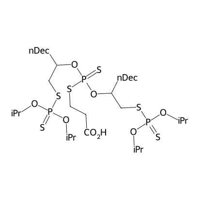 CCCCCCCCCCC(CSP(=S)(OC(C)C)OC(C)C)OP(=S)(OC(CCCCCCCCCC)CSP(=S)(OC(C)C)OC(C)C)SCCC(=O)O